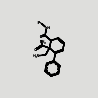 CC(C)NC(=O)C1C=CC=C(c2ccccc2)C1(CN)C(N)=O